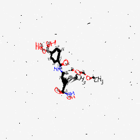 CCOCOC[C@H](C[C@H](C)C(=O)NO)NC(=O)c1ccc(B(O)OO)cc1